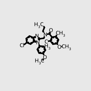 CCCN(Cc1nc2ccc(Cl)cc2n1-c1ccc(OC)cc1)C(=O)c1c(C)cc(OC)cc1C